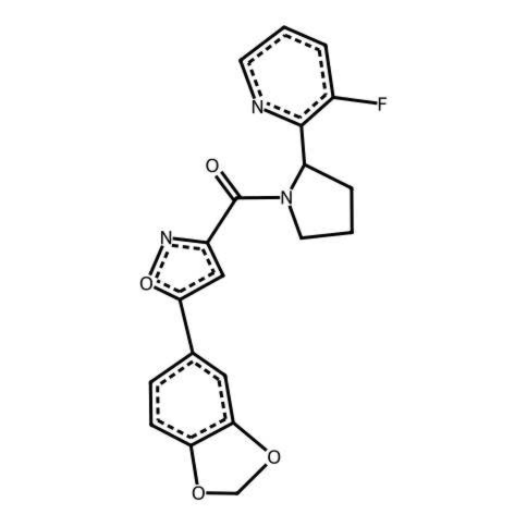 O=C(c1cc(-c2ccc3c(c2)OCO3)on1)N1CCCC1c1ncccc1F